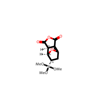 CO[Si](OC)(OC)[C@H]1CC2=C3C(=O)OC(=O)[C@@H]3[C@H]1O2